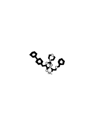 N#CC(COCc1ccccc1)NC(=O)C(Cc1ccc(-c2ccccc2)cc1)OC(=O)N1CCOCC1